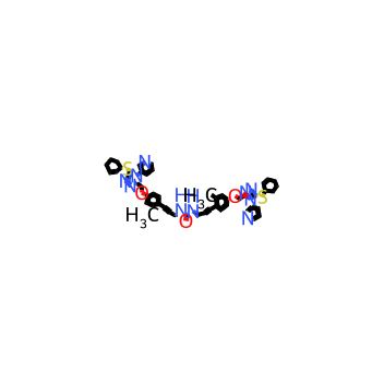 Cc1cc(OCc2nnc(SC3C=CCCC3)n2-c2cccnc2)ccc1C#CCNC(=O)NCC#Cc1ccc(OCc2nnc(SC3C=CCCC3)n2-c2cccnc2)cc1C